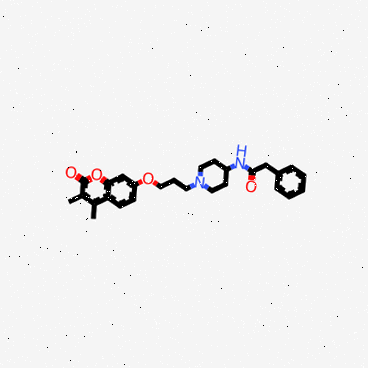 Cc1c(C)c2ccc(OCCCN3CCC(NC(=O)Cc4ccccc4)CC3)cc2oc1=O